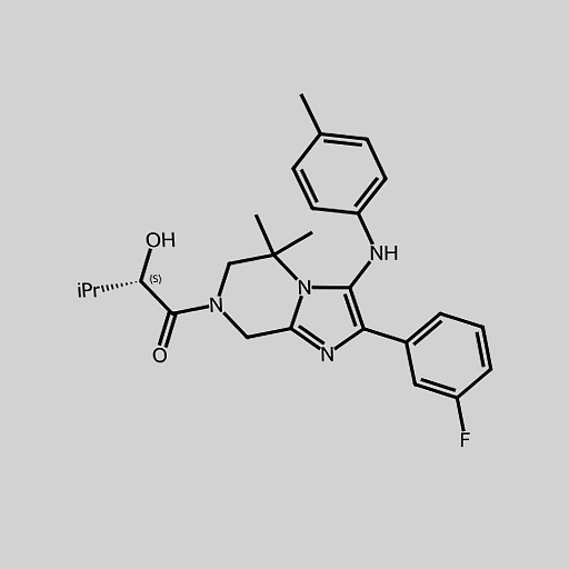 Cc1ccc(Nc2c(-c3cccc(F)c3)nc3n2C(C)(C)CN(C(=O)[C@@H](O)C(C)C)C3)cc1